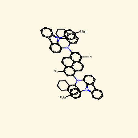 CC(C)c1cc(N(c2cccc3c2CCCC3)c2cccc3c4ccccc4n(-c4ccc(C(C)(C)C)cc4)c23)c2ccc3c(C(C)C)cc(N(c4cccc5c4CCCC5)c4cccc5c6ccccc6n(-c6ccc(C(C)(C)C)cc6)c45)c4ccc1c2c34